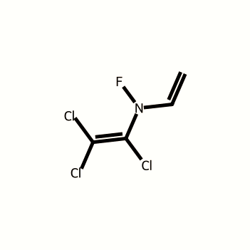 C=CN(F)C(Cl)=C(Cl)Cl